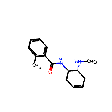 Cc1ccccc1C(=O)N[C@@H]1CC=CC[C@H]1NC=O